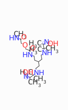 CNC(=O)COCC(=O)NCCC(CCNC(C)(C)/C(C)=N\O)CCNC(C)(C)/C(C)=N\O